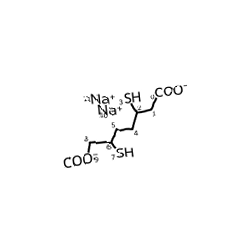 O=C([O-])CC(S)CCC(S)CC(=O)[O-].[Na+].[Na+]